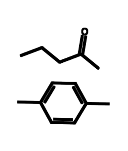 CCCC(C)=O.Cc1ccc(C)cc1